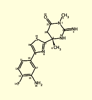 CN1C(=N)N[C@](C)(c2nc(-c3ccc(F)c(N)c3)cs2)CC1=O